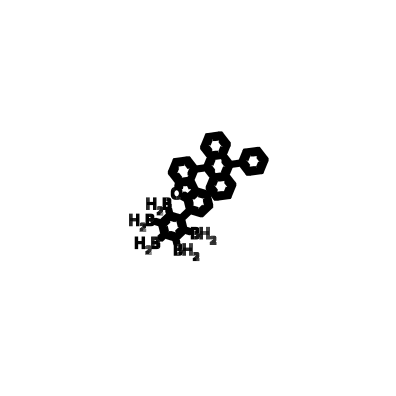 Bc1c(B)c(B)c(-c2cccc3c2oc2cccc(-c4c5ccccc5c(-c5ccccc5)c5ccccc45)c23)c(B)c1B